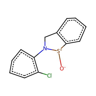 [O-][S+]1c2ccccc2CN1c1ccccc1Cl